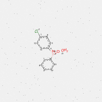 Clc1ccc([B]c2ccccc2)cc1.O.O